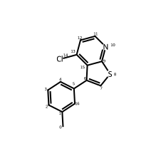 Cc1cccc(-c2csc3nccc(Cl)c23)c1